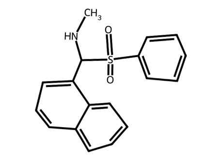 CNC(c1cccc2ccccc12)S(=O)(=O)c1ccccc1